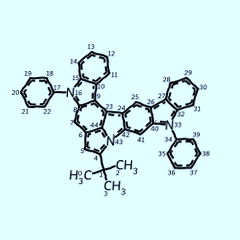 CC(C)(C)c1cc2cc3c(c4ccccc4n3-c3ccccc3)c3c4cc5c6ccccc6n(-c6ccccc6)c5cc4n1c23